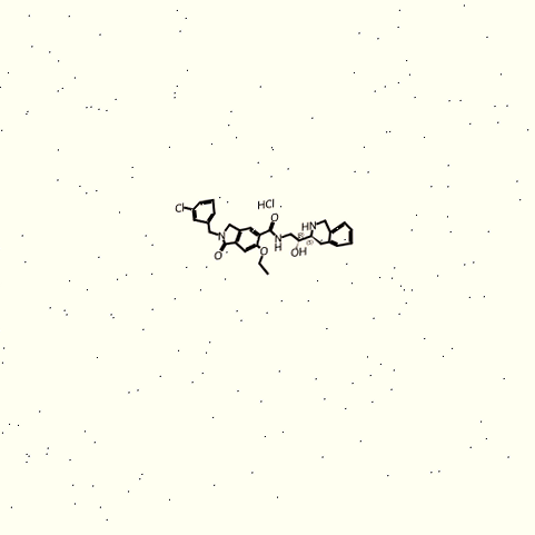 CCOc1cc2c(cc1C(=O)NC[C@@H](O)[C@@H]1Cc3ccccc3CN1)CN(Cc1cccc(Cl)c1)C2=O.Cl